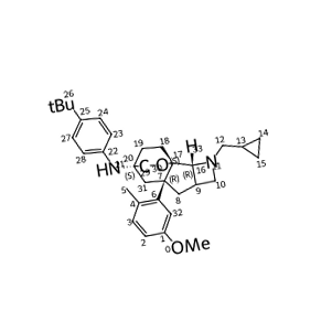 COc1ccc(C)c([C@]23CC4CN(CC5CC5)[C@H]4[C@]24CC[C@@](Nc2ccc(C(C)(C)C)cc2)(CO4)C3)c1